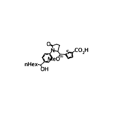 CCCCCCC(O)c1ccc(N2C(=O)CCC2[C@H](OC)c2ccc(C(=O)O)s2)cc1